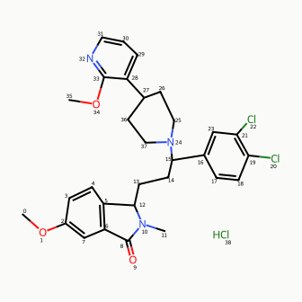 COc1ccc2c(c1)C(=O)N(C)C2CCC(c1ccc(Cl)c(Cl)c1)N1CCC(c2cccnc2OC)CC1.Cl